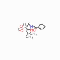 CC(C)C[C@H](CC1OCCO1)C(=O)N(C)C[C@H](O)c1ccccc1